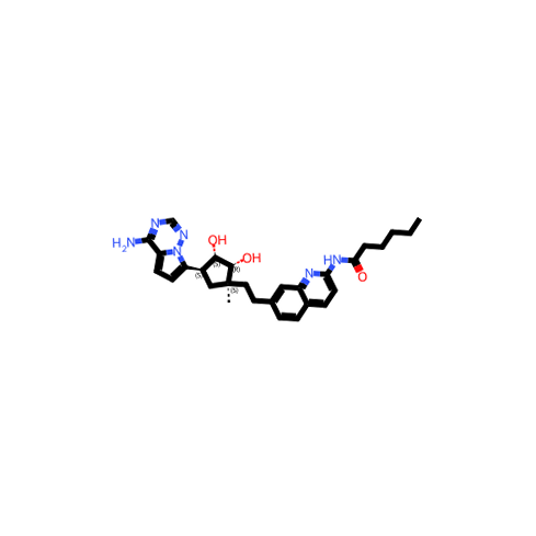 CCCCCC(=O)Nc1ccc2ccc(CC[C@@]3(C)C[C@@H](c4ccc5c(N)ncnn45)[C@H](O)[C@@H]3O)cc2n1